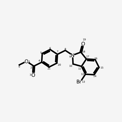 COC(=O)c1ccc(CN2Cc3c(Br)cccc3C2=O)cc1